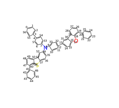 c1ccc(-c2ccc(N(c3ccc(-c4ccc5oc6c(-c7ccccc7)cccc6c5c4)cc3)c3ccc4sc5c(-c6ccccc6)cccc5c4c3)cc2)cc1